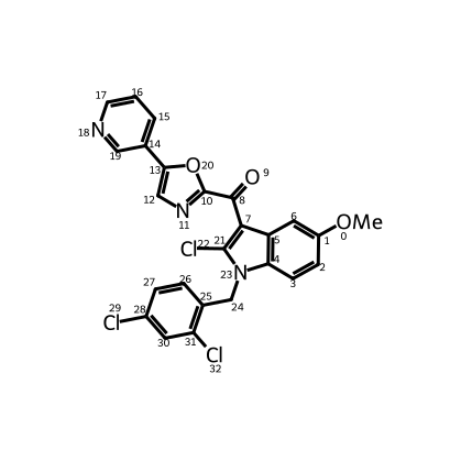 COc1ccc2c(c1)c(C(=O)c1ncc(-c3cccnc3)o1)c(Cl)n2Cc1ccc(Cl)cc1Cl